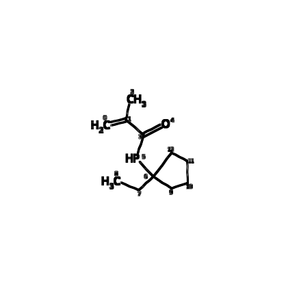 C=C(C)C(=O)PC1(CC)CCCC1